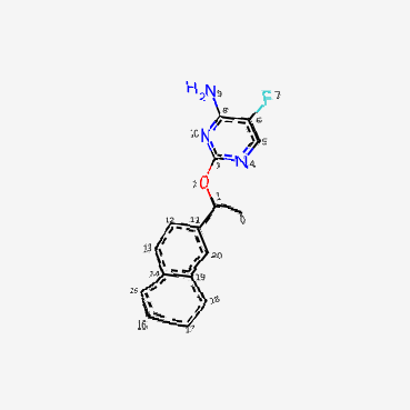 CC(Oc1ncc(F)c(N)n1)c1ccc2ccccc2c1